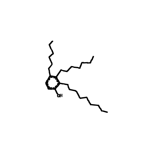 CCCCCCCCCc1c(O)ccc(CCCCCC)c1CCCCCCC